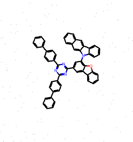 c1ccc(-c2ccc(-c3nc(-c4ccc(-c5ccccc5)cc4)nc(-c4cc(-n5c6ccccc6c6cc7ccccc7cc65)c5oc6ccccc6c5c4)n3)cc2)cc1